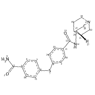 NC(=O)c1ccc(Sc2ccc(C(=O)N[C@H]3CN4CCC3CC4)cc2)cc1